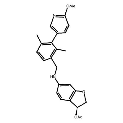 COc1ccc(-c2c(C)ccc(CNc3ccc4c(c3)OC[C@H]4OC(C)=O)c2C)cn1